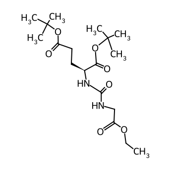 CCOC(=O)CNC(=O)N[C@@H](CCC(=O)OC(C)(C)C)C(=O)OC(C)(C)C